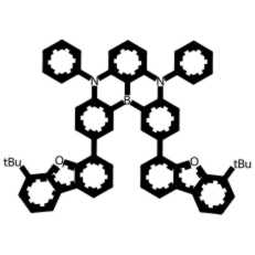 CC(C)(C)c1cccc2c1oc1c(-c3ccc4c(c3)B3c5cc(-c6cccc7c6oc6c(C(C)(C)C)cccc67)ccc5N(c5ccccc5)c5cccc(c53)N4c3ccccc3)cccc12